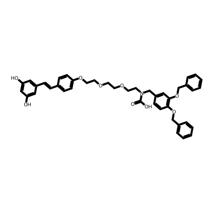 O=C(O)N(CCOCCOCCOc1ccc(/C=C/c2cc(O)cc(O)c2)cc1)Cc1ccc(OCc2ccccc2)c(OCc2ccccc2)c1